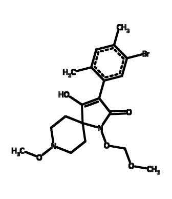 COCON1C(=O)C(c2cc(Br)c(C)cc2C)=C(O)C12CCN(OC)CC2